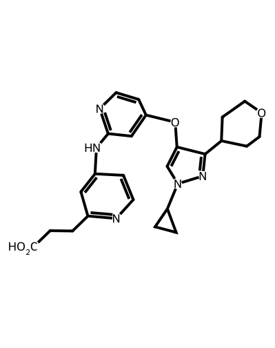 O=C(O)CCc1cc(Nc2cc(Oc3cn(C4CC4)nc3C3CCOCC3)ccn2)ccn1